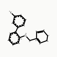 Fc1cccc(-c2ccccc2OCC2=CC[CH]C=C2)c1